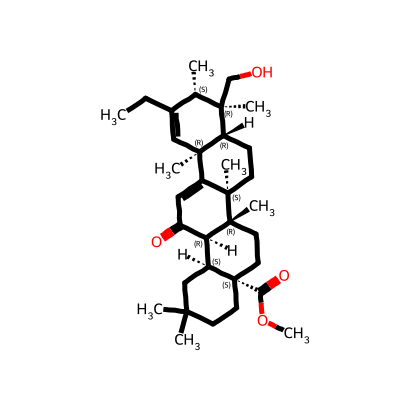 CCC1=C[C@]2(C)C3=CC(=O)[C@@H]4[C@@H]5CC(C)(C)CC[C@]5(C(=O)OC)CC[C@@]4(C)[C@]3(C)CC[C@H]2[C@](C)(CO)[C@H]1C